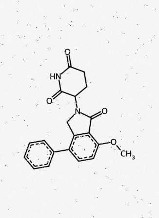 COc1ccc(-c2ccccc2)c2c1C(=O)N(C1CCC(=O)NC1=O)C2